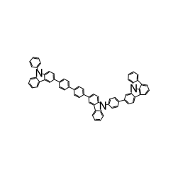 c1ccc(-n2c3ccccc3c3cc(-c4ccc(-c5ccc(-c6ccc7c(c6)c6ccccc6n7-c6ccc(-c7ccc8c9cccc%10c%11ccccc%11n(c8c7)c%109)cc6)cc5)cc4)ccc32)cc1